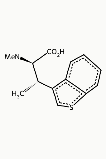 CN[C@@H](C(=O)O)[C@@H](C)c1csc2ccccc12